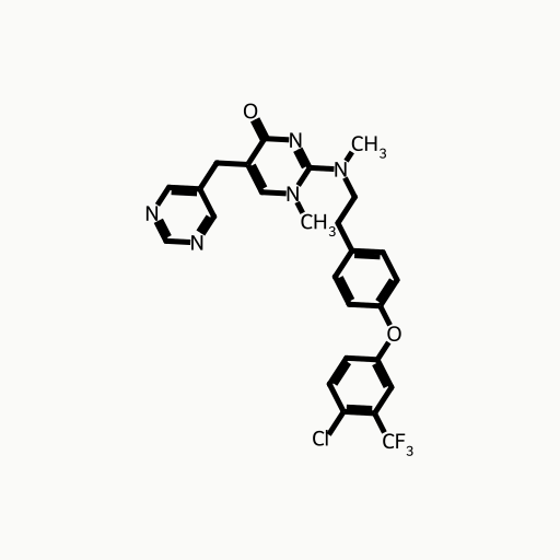 CN(CCc1ccc(Oc2ccc(Cl)c(C(F)(F)F)c2)cc1)c1nc(=O)c(Cc2cncnc2)cn1C